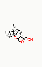 CC(C)(C)[Si](C)(C)OC1CO[C@H](CO)C1